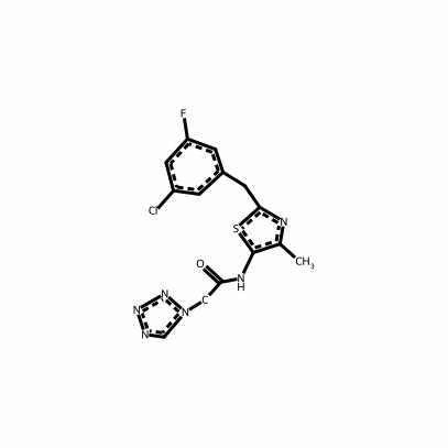 Cc1nc(Cc2cc(F)cc(Cl)c2)sc1NC(=O)Cn1cnnn1